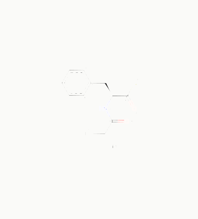 CC(C)[C@H](C)C(=O)N[C@@H](Cc1ccccc1)C(=O)S